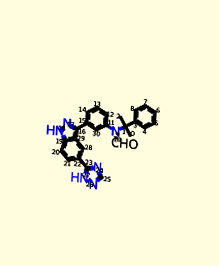 CC(C)(c1ccccc1)N(C=O)c1cccc(-c2n[nH]c3ccc(-c4ncn[nH]4)cc23)c1